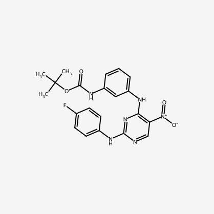 CC(C)(C)OC(=O)Nc1cccc(Nc2nc(Nc3ccc(F)cc3)ncc2[N+](=O)[O-])c1